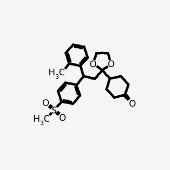 Cc1ccccc1C(CC1(C2CCC(=O)CC2)OCCO1)c1ccc(S(C)(=O)=O)cc1